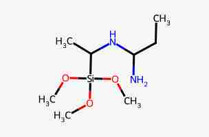 CCC(N)NC(C)[Si](OC)(OC)OC